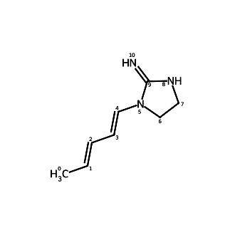 CC=CC=CN1CCNC1=N